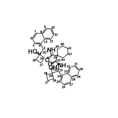 O=C(N[C@@H](c1cccc2ccccc12)C1(O)CCC1)C1(C(=O)N[C@@H](c2cccc3ccccc23)C2(O)CCC2)CCCCC1